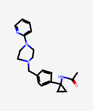 CC(=O)NC1(c2ccc(CN3CCN(c4ccccn4)CC3)cc2)CC1